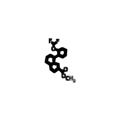 COC(=O)c1ccc2cccc(-c3ccccc3OC(F)F)c2c1